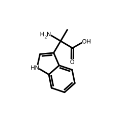 CC(N)(C(=O)O)c1c[nH]c2ccccc12